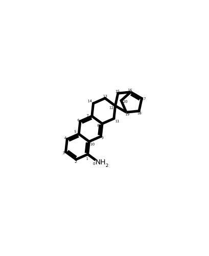 Nc1cccc2cc3c(cc12)CC1(CC3)CC2=CCC1C2